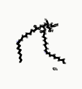 CCCCCCCC/C=C\CCCCCCCC(=O)OCC(C[N+](C)(CCO)CCO)OC(=O)CCCCCCC/C=C\CCCCCCCC.[Cl-]